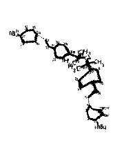 CCCC[C@H]1CC[C@H](CCC2CCC(C(C)(C)OC(C)(C)C3CCC(CC[C@H]4CC[C@H](CCCC)CC4)CC3)CC2)CC1